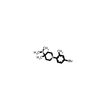 Cc1cc(C(C)(C)C)ccc1N1CCC(C)(N(C)C)CC1